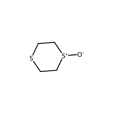 [O-][S+]1CCSCC1